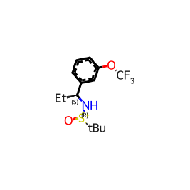 CC[C@H](N[S@@+]([O-])C(C)(C)C)c1cccc(OC(F)(F)F)c1